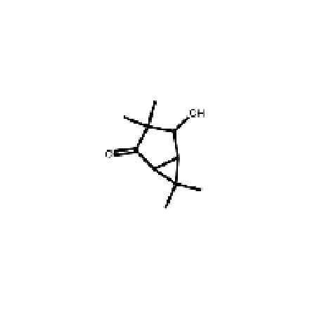 CC1(C)C(=O)C2C(C1O)C2(C)C